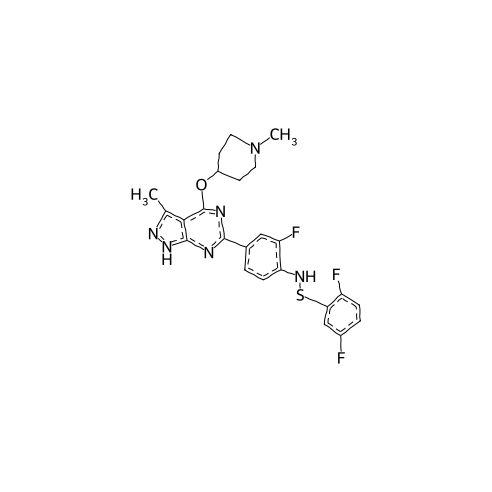 Cc1n[nH]c2nc(-c3ccc(NSc4cc(F)ccc4F)c(F)c3)nc(OC3CCN(C)CC3)c12